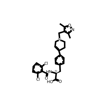 Cc1noc(C)c1CN1CC=C(c2ccc(C[C@H](NC(=O)c3c(Cl)cccc3Cl)C(=O)O)cc2)CC1